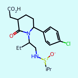 CCC(CN[S+]([O-])C(C)C)N1C(=O)C(CC(=O)O)CCC1c1ccc(Cl)cc1